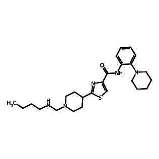 CCCCNCN1CCC(c2nc(C(=O)Nc3ccccc3N3CCCCC3)cs2)CC1